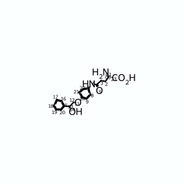 N[C@@H](CCC(=O)Nc1ccc(OCC(O)c2ccccc2)cc1)C(=O)O